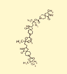 C[C@@H]1CC2(CCN(C(=O)OC(C)(C)CC[C@H]3CC4(CCN(C(=O)OC(C)(C)CCC5CC6(CCN(C(=O)OC(C)(C)C)CC6)C(=O)N5)CC4)C(=O)N3)CC2)C(=O)N1